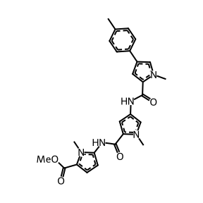 COC(=O)c1ccc(NC(=O)c2cc(NC(=O)c3cc(-c4ccc(C)cc4)cn3C)cn2C)n1C